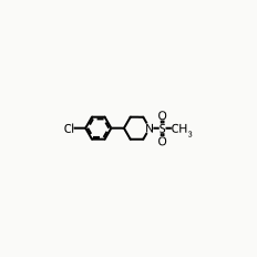 CS(=O)(=O)N1CCC(c2ccc(Cl)cc2)CC1